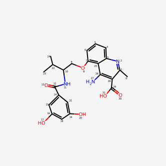 Cc1nc2cccc(OCC(NC(=O)c3cc(O)cc(O)c3)C(C)C)c2c(N)c1C(=O)O